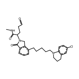 CNC(=O)C(CCC=O)N1Cc2c(CCCCCN3CCCc4cc(Cl)ccc43)cccc2C1=O